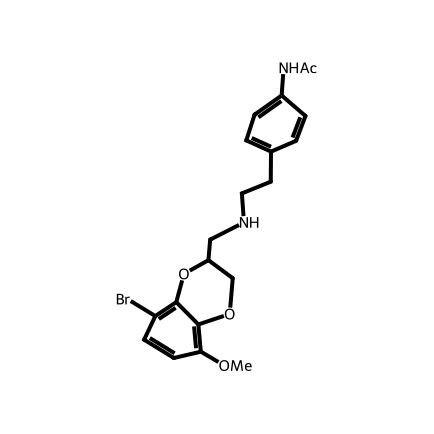 COc1ccc(Br)c2c1OCC(CNCCc1ccc(NC(C)=O)cc1)O2